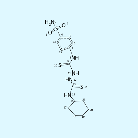 NS(=O)(=O)c1ccc(NC(=S)NNC(=S)NC2CCCCC2)cc1